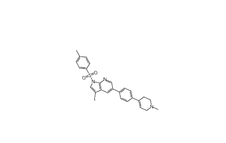 Cc1ccc(S(=O)(=O)n2cc(I)c3cc(-c4ccc(C5=CCN(C)CC5)cc4)cnc32)cc1